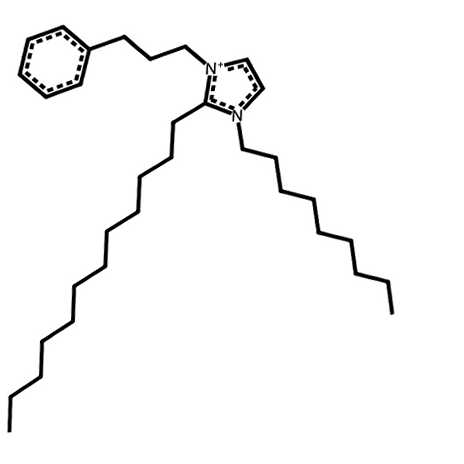 CCCCCCCCCCCCc1n(CCCCCCCCC)cc[n+]1CCCc1ccccc1